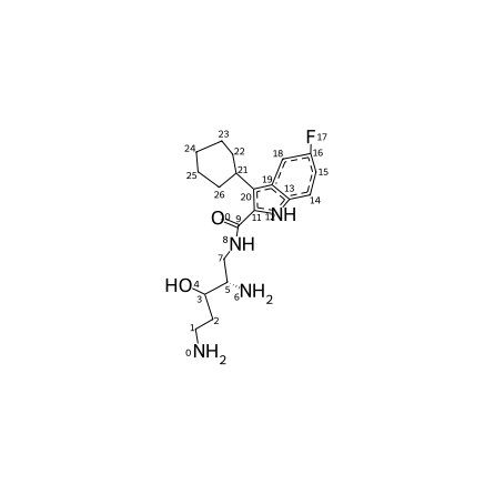 NCCC(O)[C@@H](N)CNC(=O)c1[nH]c2ccc(F)cc2c1C1CCCCC1